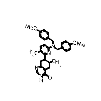 COc1ccc(CN(Cc2ccc(OC)cc2)c2ccc(C(F)(F)F)c(C3Cc4nc[nH]c(=O)c4CC3C)n2)cc1